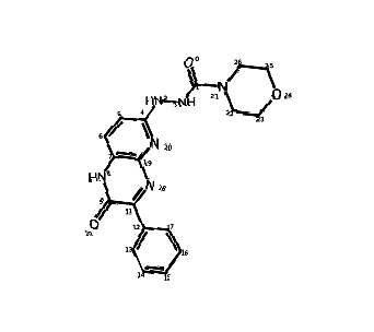 O=C(NNc1ccc2[nH]c(=O)c(-c3ccccc3)nc2n1)N1CCOCC1